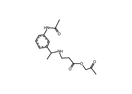 CC(=O)COC(=O)CCNC(C)c1cccc(NC(C)=O)c1